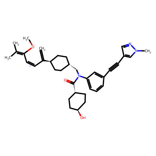 C=C(/C=C\C(OC)=C(C)C)[C@H]1CC[C@H](CN(c2cccc(C#Cc3cnn(C)c3)c2)C(=O)[C@H]2CC[C@H](O)CC2)CC1